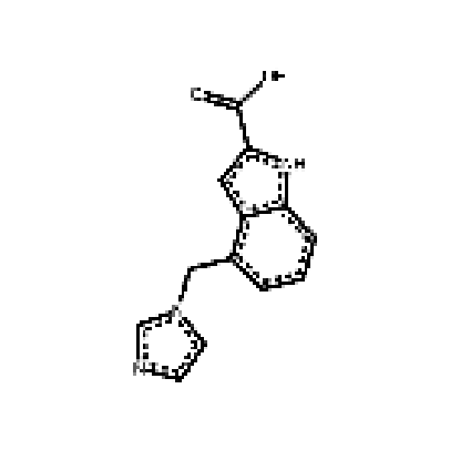 O=C(O)c1cc2c(Cn3ccnc3)cccc2[nH]1